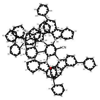 N#Cc1c(-n2c3ccccc3c3cc(-c4ccccc4)ccc32)c(-n2c3ccccc3c3cc(-c4ccccc4)ccc32)c(-c2cccc3c2-c2ccccc2[Si]32c3ccccc3-c3cccnc32)c(-n2c3ccccc3c3cc(-c4ccccc4)ccc32)c1-n1c2ccccc2c2cc(-c3ccccc3)ccc21